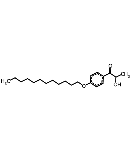 CCCCCCCCCCCCOc1ccc(C(=O)C(C)O)cc1